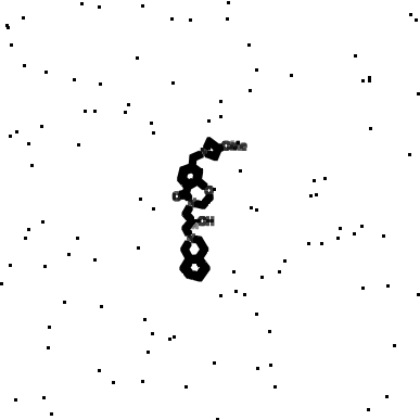 COC1CN(Cc2ccc3c(c2)OCCN(C[C@H](O)CN2CCc4ccccc4C2)C3=O)C1